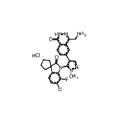 Cl.Cn1ncc(-c2ccc3c(=O)[nH]nc(CN)c3c2)c1N1C(=O)C2(CCCC2)c2ccc(Cl)c(F)c21